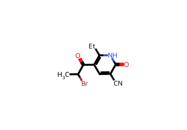 CCc1[nH]c(=O)c(C#N)cc1C(=O)C(C)Br